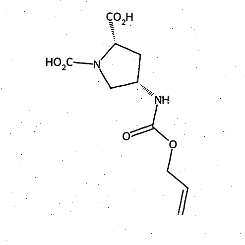 C=CCOC(=O)N[C@H]1C[C@@H](C(=O)O)N(C(=O)O)C1